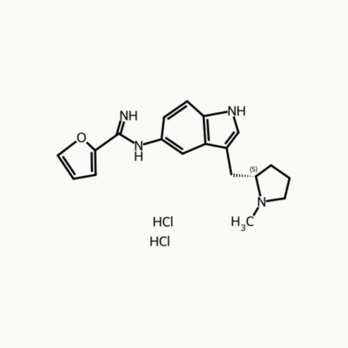 CN1CCC[C@H]1Cc1c[nH]c2ccc(NC(=N)c3ccco3)cc12.Cl.Cl